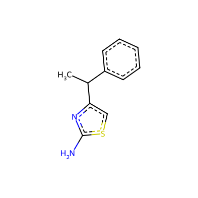 CC(c1ccccc1)c1csc(N)n1